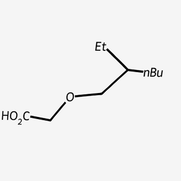 CCCCC(CC)COCC(=O)O